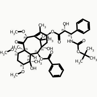 CO[C@H]1C(=O)[C@]2(C)[C@@H](OC)C[C@@H](OC)[C@](C)(O)[C@H]2[C@H](OC(=O)c2ccccc2)[C@]2(O)C[C@H](OC(=O)[C@H](O)[C@@H](NC(=O)OC(C)(C)C)c3ccccc3)C(C)=C1C2(C)C